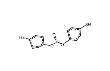 O=S(Oc1ccc(S)cc1)Oc1ccc(S)cc1